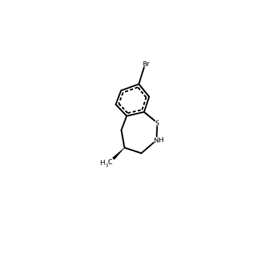 C[C@@H]1CNSc2cc(Br)ccc2C1